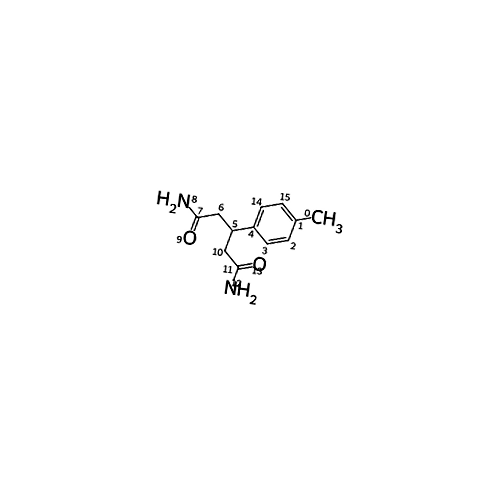 Cc1ccc(C(CC(N)=O)CC(N)=O)cc1